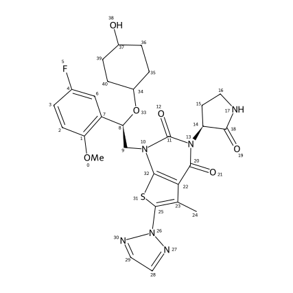 COc1ccc(F)cc1[C@H](Cn1c(=O)n([C@H]2CCNC2=O)c(=O)c2c(C)c(-n3nccn3)sc21)OC1CCC(O)CC1